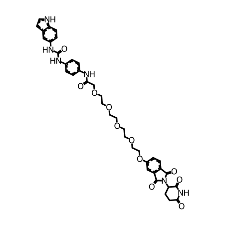 O=C1CCC(N2C(=O)c3ccc(OCCOCCOCCOCCOCC(=O)Nc4ccc(NC(=O)Nc5ccc6[nH]ccc6c5)cc4)cc3C2=O)C(=O)N1